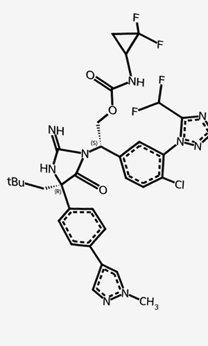 Cn1cc(-c2ccc([C@@]3(CC(C)(C)C)NC(=N)N([C@H](COC(=O)NC4CC4(F)F)c4ccc(Cl)c(-n5ncnc5C(F)F)c4)C3=O)cc2)cn1